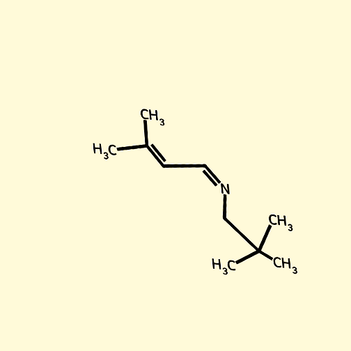 CC(C)=C/C=N\CC(C)(C)C